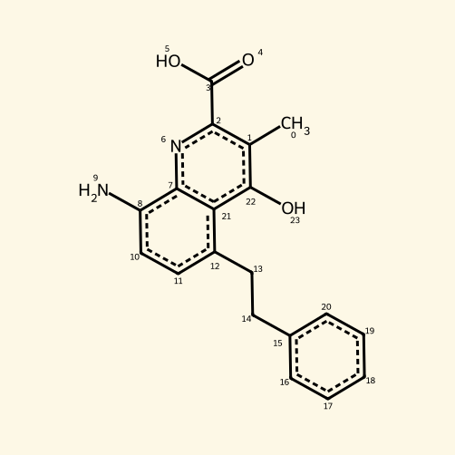 Cc1c(C(=O)O)nc2c(N)ccc(CCc3ccccc3)c2c1O